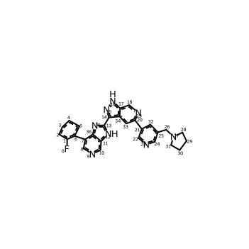 Fc1ccccc1-c1cncc2[nH]c(-c3n[nH]c4cnc(-c5cncc(CN6CCCC6)c5)cc34)nc12